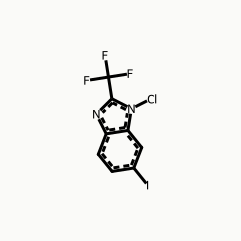 FC(F)(F)c1nc2ccc(I)cc2n1Cl